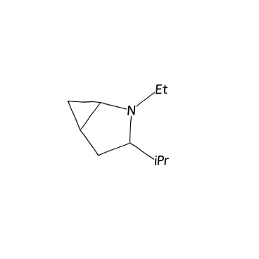 CCN1C(C(C)C)CC2CC21